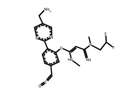 CN/C(=C\C(=N)N(C)CC(F)F)Oc1cc(C=C=O)ccc1-c1ncc(CN)cn1